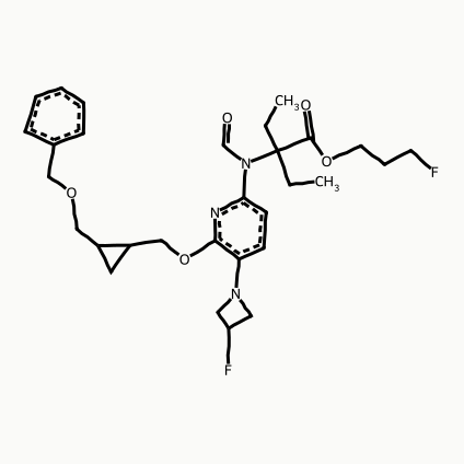 CCC(CC)(C(=O)OCCCF)N(C=O)c1ccc(N2CC(F)C2)c(OCC2CC2COCc2ccccc2)n1